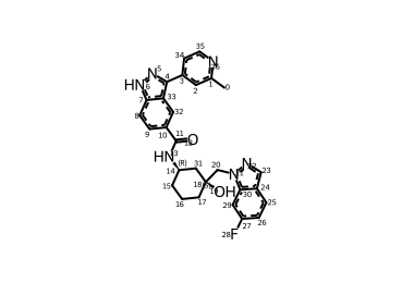 Cc1cc(-c2n[nH]c3ccc(C(=O)N[C@@H]4CCC[C@@](O)(Cn5ncc6ccc(F)cc65)C4)cc23)ccn1